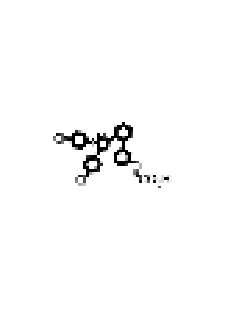 O=C(O)COc1cccc(-c2ccccc2-c2cc(-c3ccc(Cl)cc3)n(-c3ccc(Cl)cc3)n2)c1